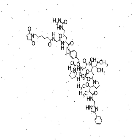 CC[C@H](C)[C@@H]([C@@H](CC(=O)N1CCC[C@H]1[C@H](OC)[C@@H](C)C(=O)NCc1nc(-c2ccccc2)c[nH]1)OC)N(C)C(=O)CNC(=O)[C@@H]1[C@H]2CC[C@H](C2)N1C(=O)OCc1ccc(NC(=O)[C@H](CCCNC(N)=O)NC(=O)CNC(=O)CCCCCN2C(=O)C=CC2=O)cc1